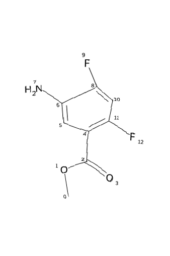 COC(=O)c1cc(N)c(F)cc1F